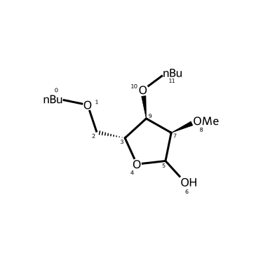 CCCCOC[C@H]1OC(O)[C@H](OC)[C@@H]1OCCCC